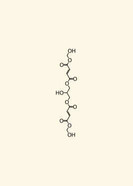 O=C(/C=C/C(=O)OCC(O)COC(=O)/C=C/C(=O)OCO)OCO